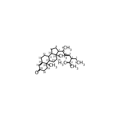 CCC(/C=C/C(C)C1CCC2C3CCC4=CC(=O)CCC4(C)C3CCC12C)C(C)C